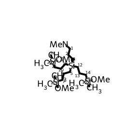 CNCCC[Si](CCC[Si](C)(C)OC)(CCC[Si](C)(C)OC)CCC[Si](C)(C)OC